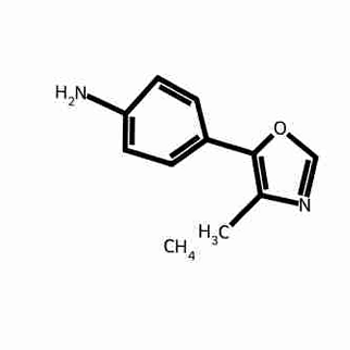 C.Cc1ncoc1-c1ccc(N)cc1